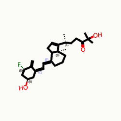 C=C1/C(=C\C=C2/CCC[C@]3(C)C([C@H](C)CCC(=O)C(C)(C)O)=CCC23)C[C@@H](O)C[C@@H]1F